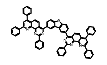 c1ccc(-c2cc(-c3ccccc3)c3ccc4c(-c5ccc6sc7ccc(-c8nc(-c9ccccc9)nc9c8ccc8c(-c%10ccccc%10)cc(-c%10ccccc%10)nc89)cc7c6c5)nc(-c5ccccc5)nc4c3n2)cc1